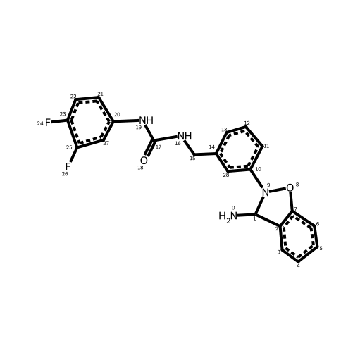 NC1c2ccccc2ON1c1cccc(CNC(=O)Nc2ccc(F)c(F)c2)c1